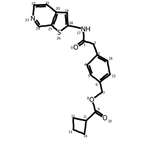 O=C(Cc1ccc(COC(=O)C2CCC2)cc1)Nc1cc2ccncc2s1